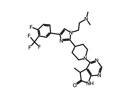 CC1C(=O)Nc2ncnc(N3CCC(c4nc(-c5ccc(F)c(C(F)(F)F)c5)cn4CCN(C)C)CC3)c21